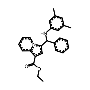 CCOC(=O)c1cc(C(Nc2cc(C)cc(C)c2)c2ccccc2)n2ccccc12